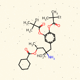 CCC(C)(C)C(=O)Oc1ccc(CC(N)(C[C@H](C)OC(=O)C2CCCCC2)C(=O)O)cc1OC(=O)C(C)(C)CC